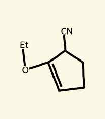 CCOC1=CCCC1C#N